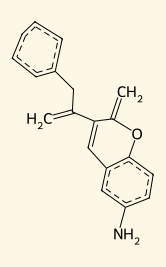 C=C(Cc1ccccc1)C1=Cc2cc(N)ccc2OC1=C